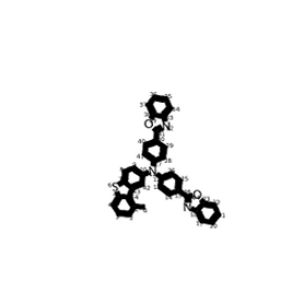 Cc1cccc2sc3ccc(N(c4ccc(-c5nc6ccccc6o5)cc4)c4ccc(-c5nc6ccccc6o5)cc4)cc3c12